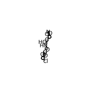 CN(C)S(=O)(=O)c1cccc(OC[C@@H](O)CNC2COC3(CCN(S(=O)(=O)c4cccc(Cl)c4)CC3)C2)c1